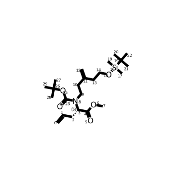 C=CC[C@@H](C(=O)OC)N(CCC(=C)CCO[Si](C)(C)C(C)(C)C)C(=O)OC(C)(C)C